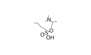 CC(C)N(C)C.CCCCS(=O)(=O)O